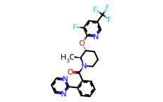 C[C@H]1[C@H](Oc2ncc(C(F)(F)F)cc2F)CCCN1C(=O)c1ccccc1-c1ncccn1